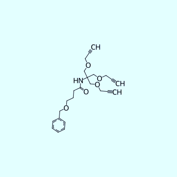 C#CCOCC(COCC#C)(COCC#C)NC(=O)CCCOCc1ccccc1